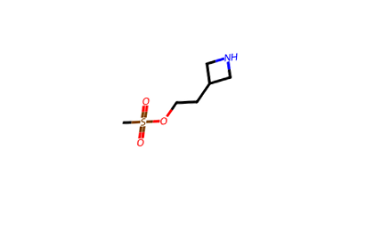 CS(=O)(=O)OCCC1CNC1